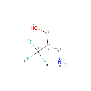 NC[C@@H](CO)C(F)(F)F